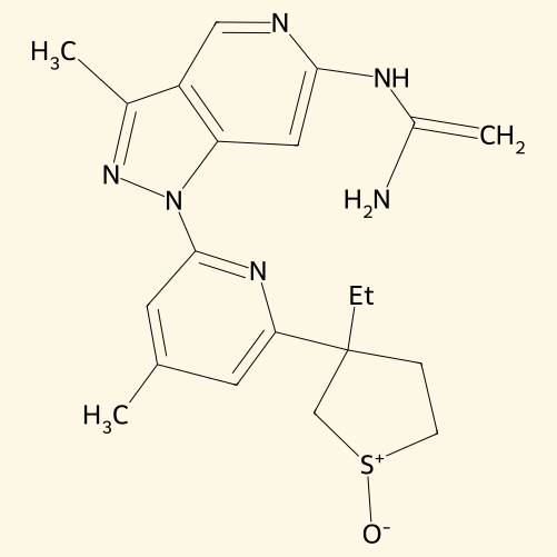 C=C(N)Nc1cc2c(cn1)c(C)nn2-c1cc(C)cc(C2(CC)CC[S+]([O-])C2)n1